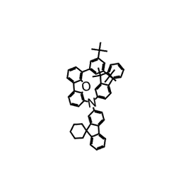 CC(C)(C)c1cc(-c2cccc3c2oc2c(N(c4ccc5c(c4)C(C)(C)c4ccccc4-5)c4ccc5c(c4)C4(CCCCC4)c4ccccc4-5)cccc23)cc(C(C)(C)C)c1